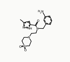 Cc1cc(C(=O)N(CCN2CCS(=O)(=O)CC2)Cc2cccc(N)c2)[nH]n1